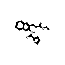 CCOC(=O)CCc1cc2ccccc2cc1NC(=O)c1ccco1